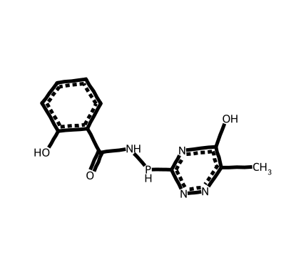 Cc1nnc(PNC(=O)c2ccccc2O)nc1O